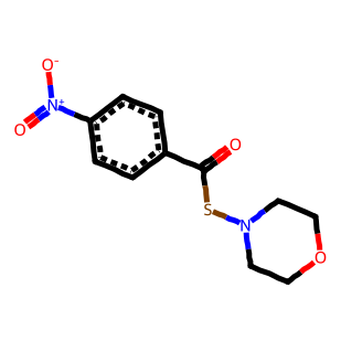 O=C(SN1CCOCC1)c1ccc([N+](=O)[O-])cc1